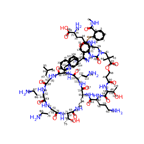 CNC(=O)c1ccccc1Sc1ccc2c(/C=C/c3ccccn3)nn(C(=O)N(CCNC(=O)CC[C@H](N)C(=O)O)CC(C)(C)C(=O)OCCC(=O)N[C@H](C(=O)N[C@@H](CCCN)C(=O)N[C@H]3CCNC(=O)[C@H]([C@@H](C)O)NC(=O)[C@H](CCN)NC(=O)[C@H](CCN)NC(=O)[C@H](CC(C)C)NC(=O)[C@@H](Cc4ccccc4)NC(=O)[C@H](CCN)NC3=O)[C@@H](C)O)c2c1